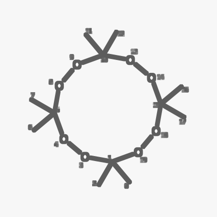 CC1(C)OOC(C)(C)OOC(C)(C)OOC(C)(C)OO1